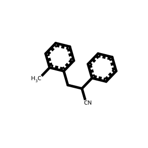 Cc1ccccc1CC(C#N)c1ccccc1